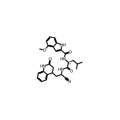 COc1cccc2[nH]c(C(=O)N[C@@H](CC(C)C)C(=O)NC(C#N)CC3CC(=O)Nc4ccccc43)cc12